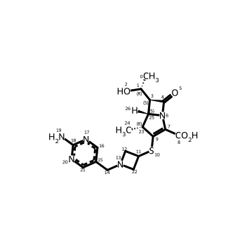 C[C@@H](O)[C@H]1C(=O)N2C(C(=O)O)=C(SC3CN(Cc4cnc(N)nc4)C3)[C@H](C)[C@H]12